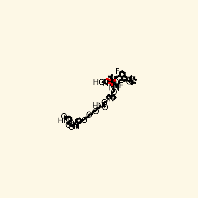 CC(C)[Si](C#Cc1c(F)ccc2cc(O[Si](C(C)C)(C(C)C)C(C)C)cc(-c3ncc4c(N5CCC[C@@](C)(O)C5)nc(OC[C@@]56CCCN5[C@H](COC(=O)NCCOCCOCCOc5ccc7c(c5)n(C)c(=O)n7C5CCC(=O)NC5=O)CC6)nc4c3F)c12)(C(C)C)C(C)C